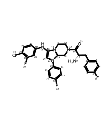 N[C@@H](Cc1ccc(F)cc1)C(=O)N1CCN2C(Nc3ccc(Cl)c(F)c3)=CN(c3ccc(F)cc3)C2C1